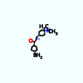 Bc1ccc(C(=O)/C=C/c2ccc(N(C)C)cc2)cc1